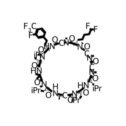 CC(C)C[C@@H]1NC(=O)[C@H](CC(C)C)N(C)C(=O)C[C@@H](C)NC(=O)[C@H](CC(C)C)N(C)C(=O)C(C)(C)NC(=O)[C@H](CC(C)C)N(C)C(=O)[C@H](CCc2ccc(C(F)(F)F)c(F)c2)NC(=O)CN(C)C(=O)[C@H](CCCCC(F)F)N(C)C(=O)CN(C)C(=O)CN(C)C1=O